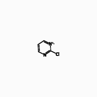 ClC1=NC=CC=[N+]1